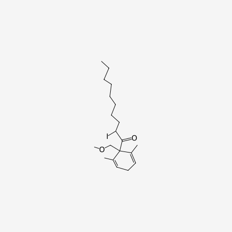 CCCCCCCCC(I)C(=O)C1(COC)C(C)=CCC=C1C